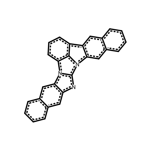 c1ccc2cc3c(cc2c1)nc1n3c2cccc3c4cc5ccccc5cc4n1c32